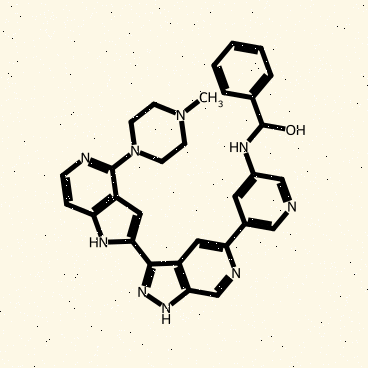 CN1CCN(c2nccc3[nH]c(-c4n[nH]c5cnc(-c6cncc(NC(O)c7ccccc7)c6)cc45)cc23)CC1